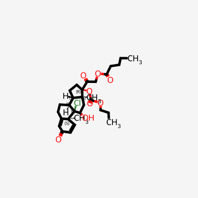 CCCCC(=O)OCC(=O)[C@@]1(OC(=O)OCCC)CC[C@H]2[C@@H]3CCC4=CC(=O)C=C[C@]4(C)[C@@]3(Cl)C(O)C[C@@]21C